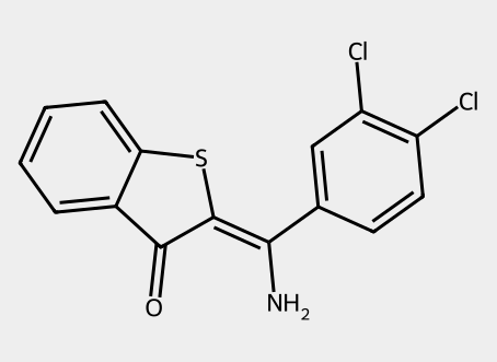 NC(=C1Sc2ccccc2C1=O)c1ccc(Cl)c(Cl)c1